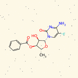 C[C@H]1O[C@@H](n2cc(F)c(N)nc2=O)[C@H](O)[C@@H]1OC(=O)c1ccccc1